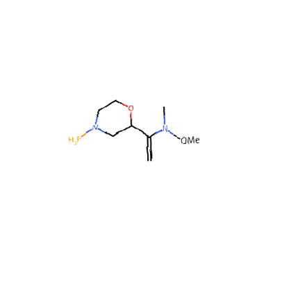 C=C(C1CN(P)CCO1)N(C)OC